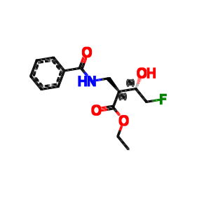 CCOC(=O)[C@@H](CNC(=O)c1ccccc1)[C@H](O)CF